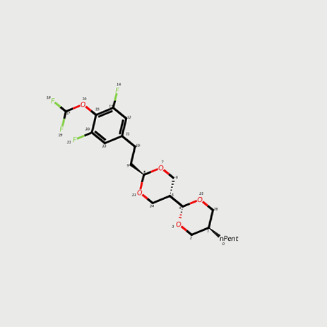 CCCCC[C@H]1CO[C@H]([C@H]2CO[C@H](CCc3cc(F)c(OC(F)F)c(F)c3)OC2)OC1